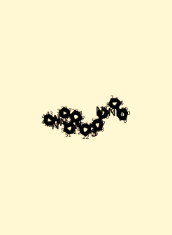 c1ccc(-c2ccccc2Nc2cncc(-c3ccc4sc5ccc(-n6c7ccccc7c7c(-n8c9ccccc9n9c%10ccccc%10nc89)cccc76)cc5c4c3)c2)cc1